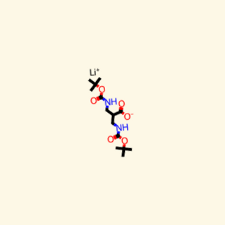 CC(C)(C)OC(=O)NCC(CNC(=O)OC(C)(C)C)C(=O)[O-].[Li+]